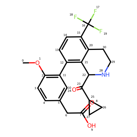 COc1ccc(CC(=O)O)cc1-c1ccc(C(F)(F)F)c2c1C(C(=O)C1CC1)NCC2